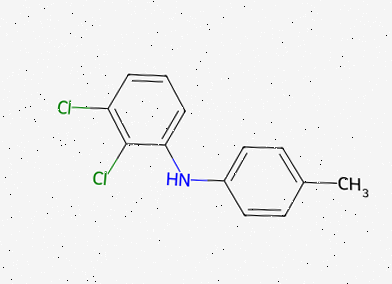 Cc1ccc(Nc2cccc(Cl)c2Cl)cc1